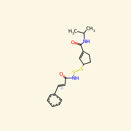 CC(C)NC(=O)C1=CC(SSNC(=O)/C=C/c2ccccc2)CC1